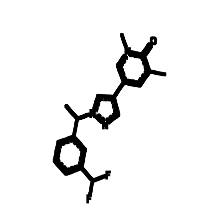 Cc1cc(-c2cnn(C(C)c3cccc(C(F)F)c3)c2)cn(C)c1=O